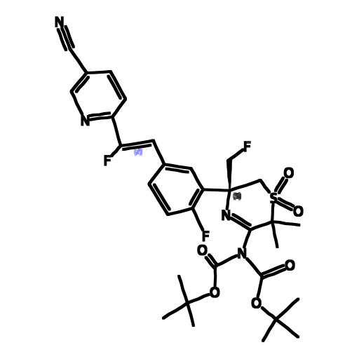 CC(C)(C)OC(=O)N(C(=O)OC(C)(C)C)C1=N[C@](CF)(c2cc(/C=C(\F)c3ccc(C#N)cn3)ccc2F)CS(=O)(=O)C1(C)C